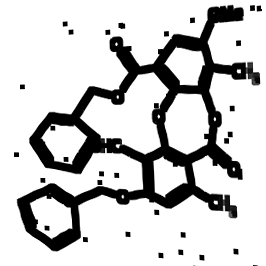 COc1cc(C(=O)OCc2ccccc2)c2c(c1C)OC(=O)c1c(C)cc(OCc3ccccc3)c(C=O)c1O2